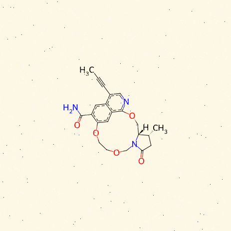 CC#Cc1cnc2c3cc(c(C(N)=O)cc13)OCCOCN1C(=O)C[C@@H](C)[C@H]1CO2